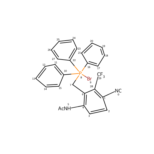 [C-]#[N+]c1ccc(NC(C)=O)c(CP(Br)(c2ccccc2)(c2ccccc2)c2ccccc2)c1C(F)(F)F